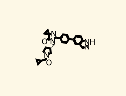 O=C(C1CC1)N1CC[C@H](CN2C(=O)C3(CC3)N=C2c2ccc(-c3ccc4[nH]ncc4c3)cc2)C1